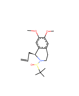 C=CC[C@H]1c2cc(OC)c(OC)cc2CCN1[S+]([O-])C(C)(C)C